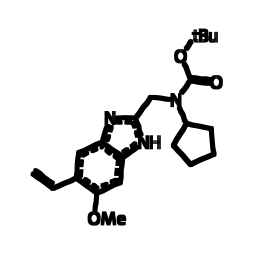 C=Cc1cc2nc(CN(C(=O)OC(C)(C)C)C3CCCC3)[nH]c2cc1OC